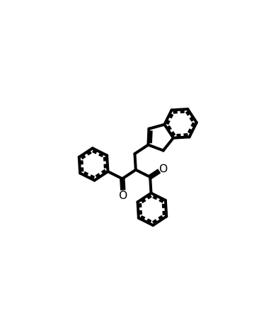 O=C(c1ccccc1)C(CC1=Cc2ccccc2C1)C(=O)c1ccccc1